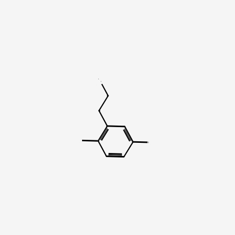 NCCc1cc(C(F)(F)F)ccc1Cl